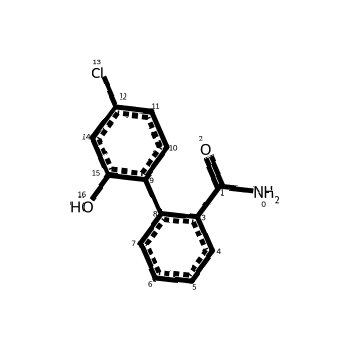 NC(=O)c1ccccc1-c1ccc(Cl)cc1O